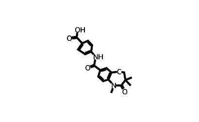 CN1C(=O)C(C)(C)CCc2cc(C(=O)Nc3ccc(C(=O)O)cc3)ccc21